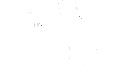 CC(C)(C)N[C@@H]1CCCN(Cc2ccccc2)C1